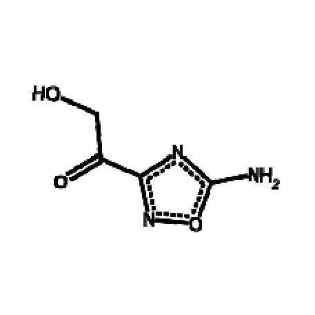 Nc1nc(C(=O)CO)no1